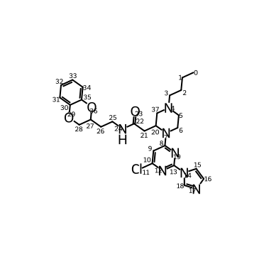 CCCCN1CCN(c2cc(Cl)nc(-n3ccnc3)n2)C(CC(=O)NCCC2COc3ccccc3O2)C1